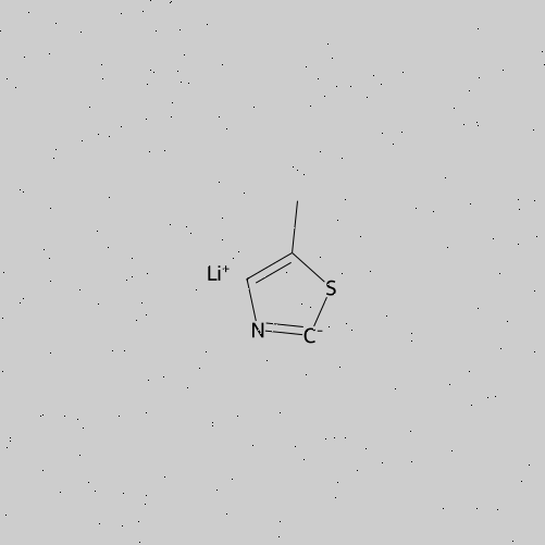 Cc1cn[c-]s1.[Li+]